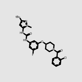 Cn1nc(C(C)(C)C)cc1NC(=O)Nc1cc(F)cc(OC2CCN(C(=O)c3ccccc3Cl)CC2)c1